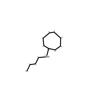 CCCCPC1CCCCCCC1